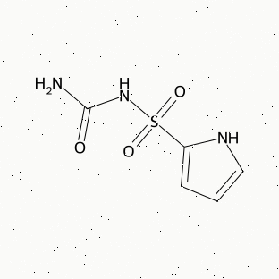 NC(=O)NS(=O)(=O)c1ccc[nH]1